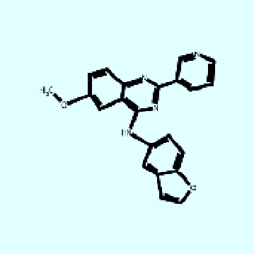 COc1ccc2nc(-c3cccnc3)nc(Nc3ccc4occc4c3)c2c1